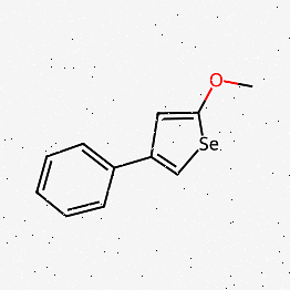 COc1cc(-c2ccccc2)c[se]1